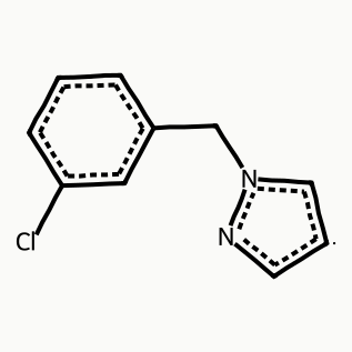 Clc1cccc(Cn2c[c]cn2)c1